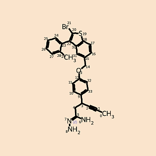 CC#CC(C/C(N)=N/N)c1ccc(OCc2ccc3sc(Br)c(-c4ccccc4C)c3c2)cc1